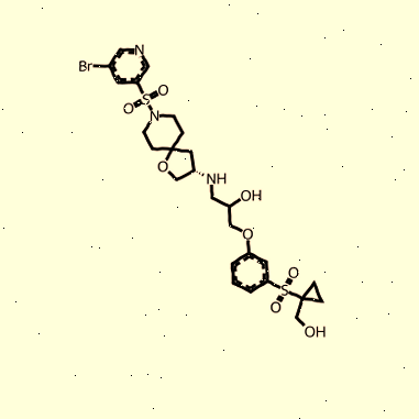 O=S(=O)(c1cncc(Br)c1)N1CCC2(CC1)C[C@H](NCC(O)COc1cccc(S(=O)(=O)C3(CO)CC3)c1)CO2